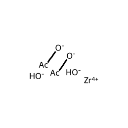 CC(=O)[O-].CC(=O)[O-].[OH-].[OH-].[Zr+4]